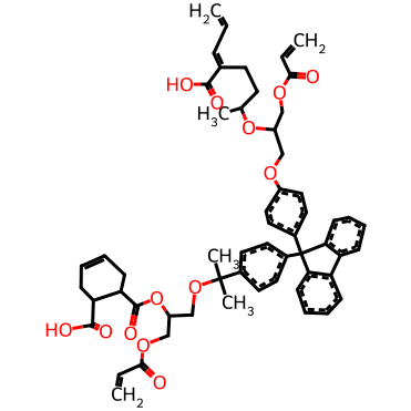 C=C/C=C(\CCC(C)OC(COC(=O)C=C)COc1ccc(C2(c3ccc(C(C)(C)OCC(COC(=O)C=C)OC(=O)C4CC=CCC4C(=O)O)cc3)c3ccccc3-c3ccccc32)cc1)C(=O)O